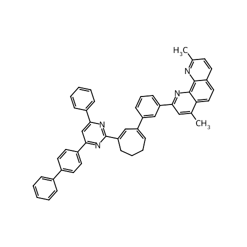 Cc1ccc2ccc3c(C)cc(-c4cccc(C5=CCCCC(c6nc(-c7ccccc7)cc(-c7ccc(-c8ccccc8)cc7)n6)=C5)c4)nc3c2n1